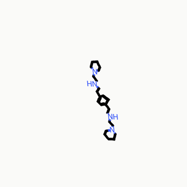 c1cc(CCNCCN2CCCCC2)ccc1CCNCCN1CCCCC1